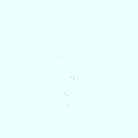 CCCCCNC(=O)N1CCC2(CCc3ccccc3O2)CC1